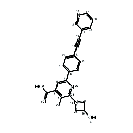 Cc1c(C(=O)O)cc(-c2ccc(C#Cc3cccnc3)cc2)nc1N1CC(O)C1